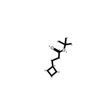 CC(C)(C)OC(=O)CCC1CCC1